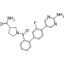 NC(=O)C1CCN([S+]([O-])c2ccccc2-c2ccc(-c3cnc(N)nc3)c(F)c2)C1